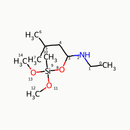 CCNC(CC(C)C)O[Si](C)(OC)OC